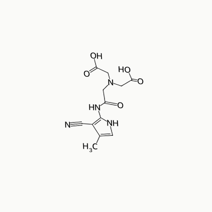 Cc1c[nH]c(NC(=O)CN(CC(=O)O)CC(=O)O)c1C#N